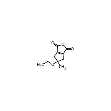 CCOC1(C)CC2=C(C1)C(=O)OC2=O